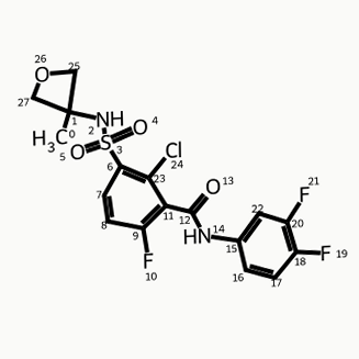 CC1(NS(=O)(=O)c2ccc(F)c(C(=O)Nc3ccc(F)c(F)c3)c2Cl)COC1